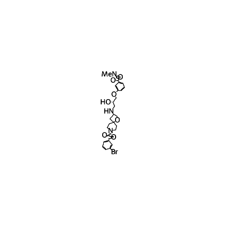 CNS(=O)(=O)c1cccc(OC[C@@H](O)CNC2COC3(CCN(S(=O)(=O)c4cccc(Br)c4)CC3)C2)c1